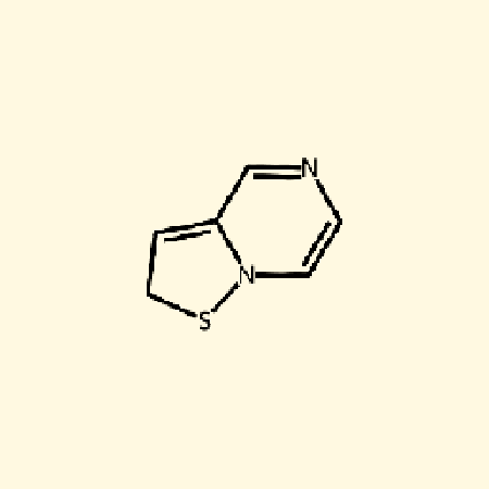 C1=CN2SCC=C2C=N1